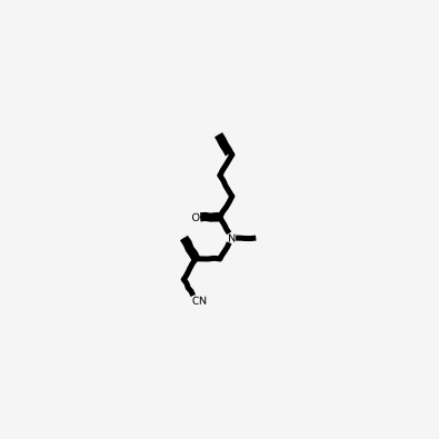 C=CCCC(=O)N(C)CC(=C)CC#N